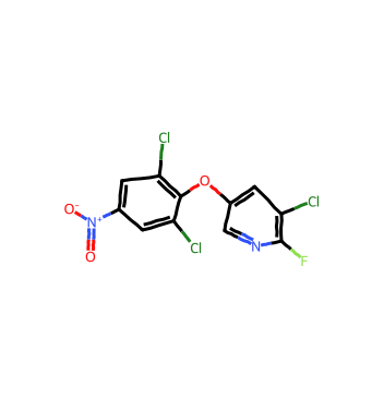 O=[N+]([O-])c1cc(Cl)c(Oc2cnc(F)c(Cl)c2)c(Cl)c1